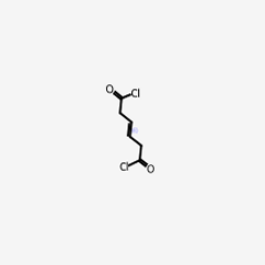 O=C(Cl)C/C=C/CC(=O)Cl